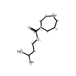 CCCC(O)CCOC(=O)N1CCCNCC1